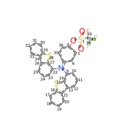 O=S(=O)(Oc1ccc(N(c2cccc3c2sc2ccccc23)c2cccc3c2sc2ccccc23)cc1)C(F)(F)F